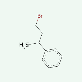 [SiH3]C(CCBr)c1ccccc1